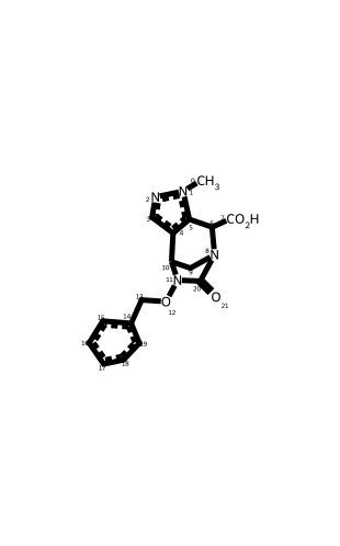 Cn1ncc2c1C(C(=O)O)N1CC2N(OCc2ccccc2)C1=O